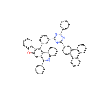 c1ccc(-c2nc(-c3cccc(-c4c5c(cc6c(-c7ccccc7)nc7ccccc7c46)oc4ccccc45)c3)nc(-c3ccc4c5ccccc5c5ccccc5c4c3)n2)cc1